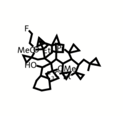 CCC1(C(CC2(C)CC2)C(C(C(C2(CC)CCC2)C([C](O)C2CCCCC2)(C2(OC)CCC2)C(CC2(OCCF)CC2)(CC2(C3CC3)CC2)C2(OC)CC2)C2(C(F)(F)F)CC2)C2(C(C)C)CC2)CC1